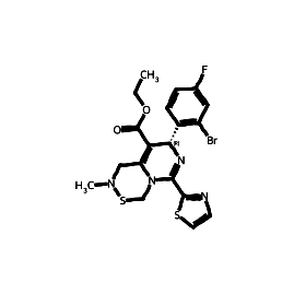 CCOC(=O)C1=C2CN(C)SCN2C(c2nccs2)=N[C@H]1c1ccc(F)cc1Br